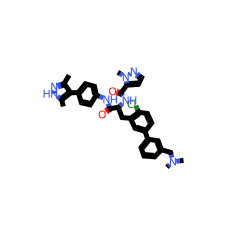 Cc1n[nH]c(C)c1-c1ccc(NC(=O)C(Cc2cc(-c3cccc(CN(C)C)c3)ccc2Cl)NC(=O)c2ccnn2C)cc1